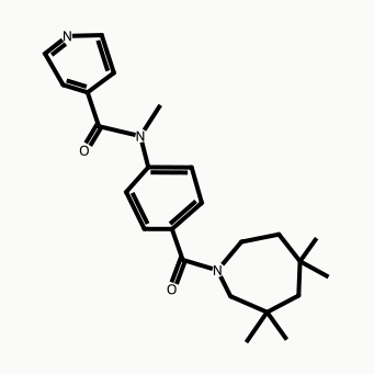 CN(C(=O)c1ccncc1)c1ccc(C(=O)N2CCC(C)(C)CC(C)(C)C2)cc1